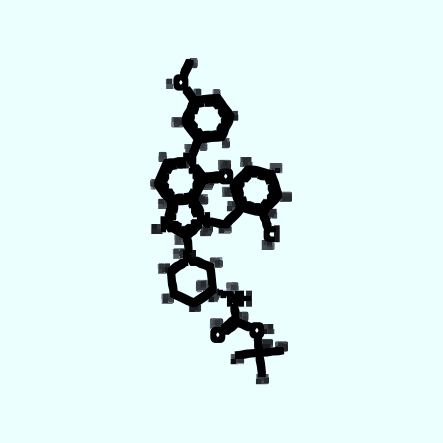 COc1cccc(-n2ccc3nc(N4CCC[C@@H](NC(=O)OC(C)(C)C)C4)n(Cc4ccccc4Cl)c3c2=O)c1